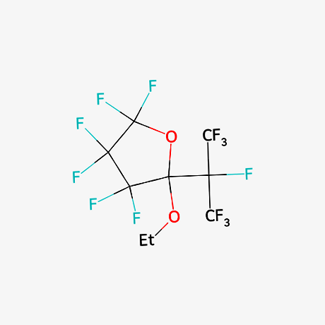 CCOC1(C(F)(C(F)(F)F)C(F)(F)F)OC(F)(F)C(F)(F)C1(F)F